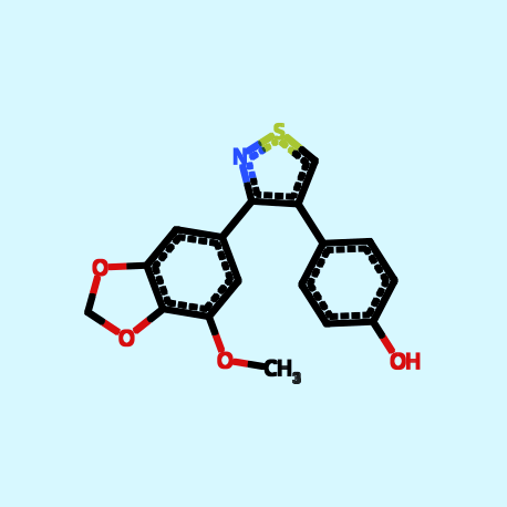 COc1cc(-c2nscc2-c2ccc(O)cc2)cc2c1OCO2